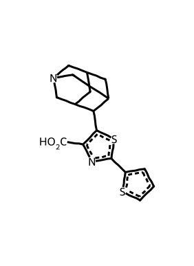 O=C(O)c1nc(-c2cccs2)sc1C1C2CC3CC1CN(C3)C2